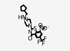 O=c1nc(N2CCN(NCC3CCCC3)CC2)sc2c([N+](=O)[O-])cc(C(F)(F)F)cc12